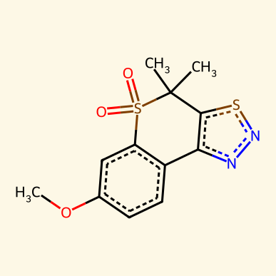 COc1ccc2c(c1)S(=O)(=O)C(C)(C)c1snnc1-2